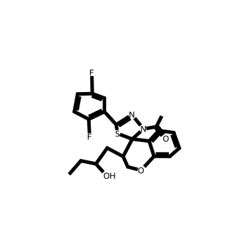 CCC(O)CC1COc2ccccc2C12SC(c1cc(F)ccc1F)=NN2C(C)=O